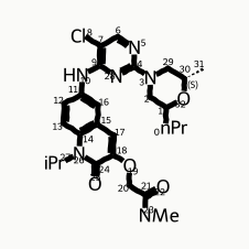 CCCC1CN(c2ncc(Cl)c(Nc3ccc4c(c3)cc(OCC(=O)NC)c(=O)n4C(C)C)n2)C[C@H](C)O1